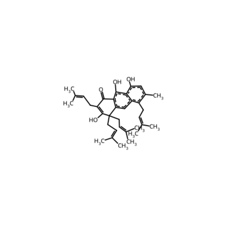 CC(C)=CCC1=C(O)C(CC=C(C)C)(CC=C(C)C)c2cc3c(CC=C(C)C)c(C)cc(O)c3c(O)c2C1=O